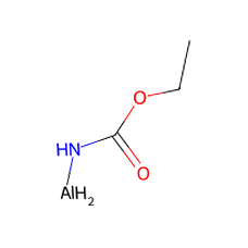 CCOC(=O)[NH][AlH2]